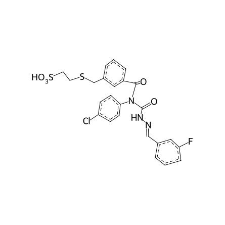 O=C(NN=Cc1cccc(F)c1)N(C(=O)c1cccc(CSCCS(=O)(=O)O)c1)c1ccc(Cl)cc1